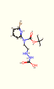 CC(C)(C)OC(=O)N(CCNNC(=O)O)c1cccc(Br)n1